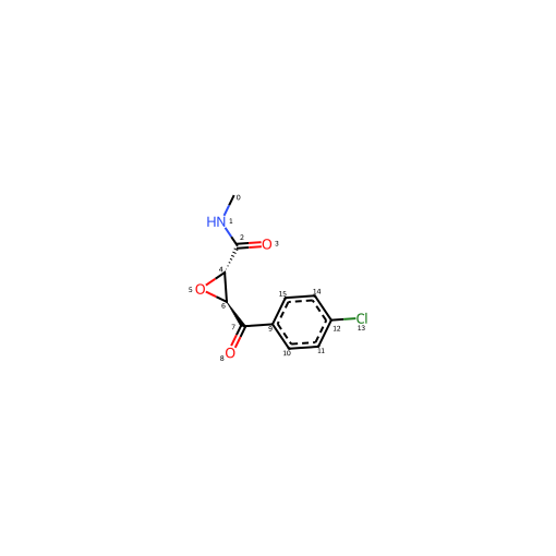 CNC(=O)[C@H]1O[C@@H]1C(=O)c1ccc(Cl)cc1